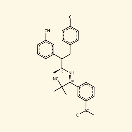 C[C@H](N[C@@H](c1cccc([S+](C)[O-])c1)C(C)(C)C#N)C(Cc1ccc(Cl)cc1)c1cccc(C#N)c1